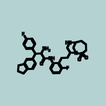 NC(C(=O)Nc1cccc(F)c1CCC1CNC2CCCS(=O)(=O)N1C2)C(c1ccc(F)cc1)c1ccc2c(c1)CCC2